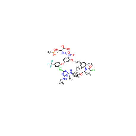 CCNc1nc(Cl)nc(NC(C)(C)C)n1.CCOc1cc(Oc2ccc(C(F)(F)F)cc2Cl)ccc1[N+](=O)[O-].CCc1cccc(C)c1N(C(=O)CCl)C(C)COC.CP(=O)(O)CCC(N)C(=O)O